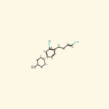 CC[C@H]1CC[C@H](c2ccc(CC/C=C/F)c(F)c2)CC1